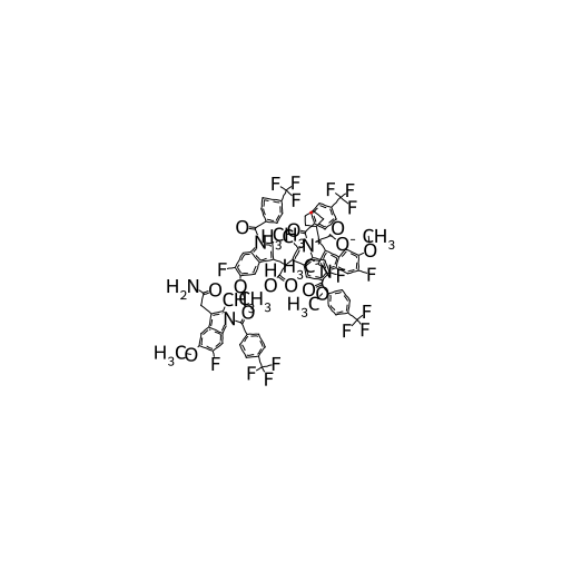 COc1cc2c(CC(N)=O)c(C)n(C(=O)c3ccc(C(F)(F)F)cc3)c2cc1F.COc1cc2c(cc1F)[N+](C(=O)c1ccc(C(F)(F)F)cc1)(C(C(=O)[O-])(c1c(C)n(C(=O)c3ccc(C(F)(F)F)cc3)c3cc(F)c(OC)cc13)C1CCCC1)C(C)=C2C(C(=O)O)c1c(C)n(C(=O)c2ccc(C(F)(F)F)cc2)c2cc(F)c(OC)cc12